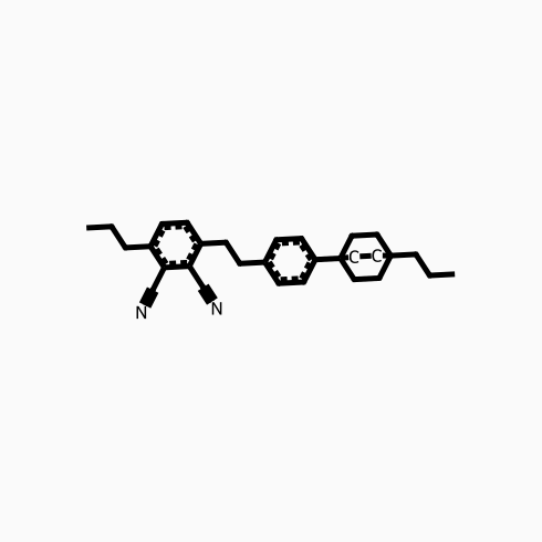 CCCc1ccc(CCc2ccc(C34CCC(CCC)(CC3)CC4)cc2)c(C#N)c1C#N